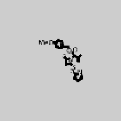 C=C(C)C(C(=O)OCc1ccc(OC)cc1)N1C(=O)CC1SSc1ccccn1